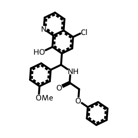 COc1cccc(C(NC(=O)COc2ccccc2)c2cc(Cl)c3cccnc3c2O)c1